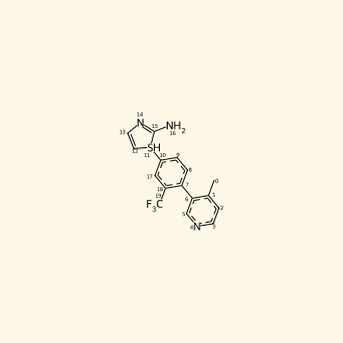 Cc1ccncc1-c1ccc([SH]2C=CN=C2N)cc1C(F)(F)F